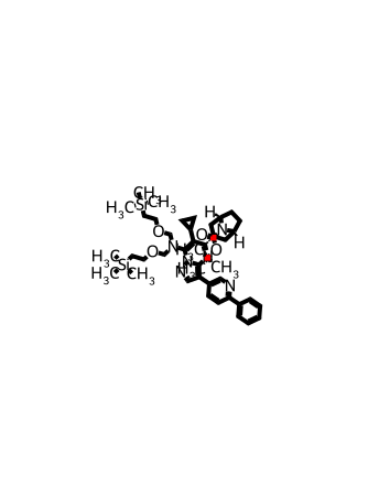 CC(C)(C)OC(=O)N1[C@@H]2CC[C@H]1C[C@@H](c1nc3c(-c4ccc(-c5ccccc5)nc4)cnn3c(N(COCC[Si](C)(C)C)COCC[Si](C)(C)C)c1C1CC1)C2